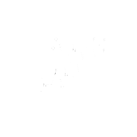 CC(C)(C)N1CC[C@](F)(C(=O)N2CCC(c3ccc(C(F)(F)F)cc3N3CCS(=O)(=O)CC3)CC2)C1